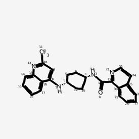 O=C(N[C@H]1CC[C@@H](Nc2cc(C(F)(F)F)nc3ccccc23)CC1)c1nccc2ccccc12